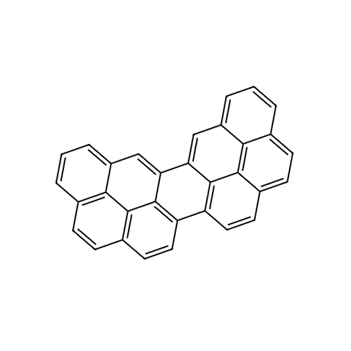 c1cc2ccc3ccc4c5ccc6ccc7cccc8cc(c9cc(c1)c2c3c49)c5c6c78